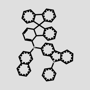 C1=CC2C(C(N(c3ccc4ccccc4c3)c3ccc4c5ccccc5n(-c5ccccc5)c4c3)=C1)c1ccccc1C21c2ccccc2-c2ccccc21